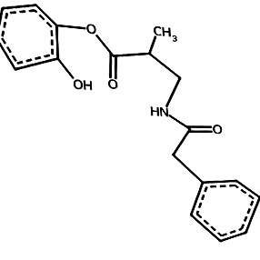 CC(CNC(=O)Cc1ccccc1)C(=O)Oc1ccccc1O